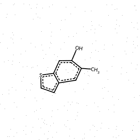 Cc1cc2ccsc2cc1O